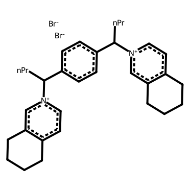 CCCC(c1ccc(C(CCC)[n+]2ccc3c(c2)CCCC3)cc1)[n+]1ccc2c(c1)CCCC2.[Br-].[Br-]